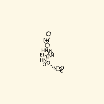 CCc1c(NC(=O)OCCCN2CCS(=O)(=O)CC2)cn2ncnc(Nc3ccc4c(cnn4Cc4ccccc4)c3)c12